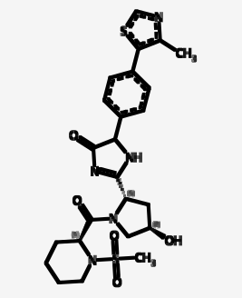 Cc1ncsc1-c1ccc(C2NC([C@@H]3C[C@@H](O)CN3C(=O)[C@@H]3CCCCN3S(C)(=O)=O)=NC2=O)cc1